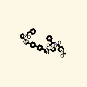 CC(=O)N1CCC(C(=O)/N=C/C(C(=O)N2CCC[C@H]2c2ncc(-c3ccc(-c4ccc(-c5cnc([C@@H]6CCCN6C(=O)Cc6ccccc6)s5)cc4)cc3)s2)c2ccccc2)CC1